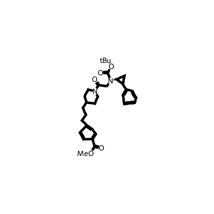 COC(=O)c1ccc(CCCC2CCN(C(=O)CN(C(=O)OC(C)(C)C)[C@@H]3CC3c3ccccc3)CC2)cc1